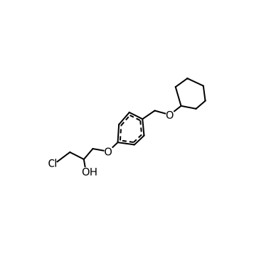 OC(CCl)COc1ccc(COC2CCCCC2)cc1